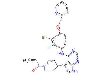 C=CC(=O)N1CCC(c2c[nH]c3ncnc(Nc4ccc(OCc5ccccn5)c(Br)c4F)c23)CC1